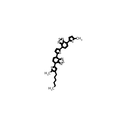 CCCCCCc1cc(-c2ccc(-c3ccc(-c4ccc(-c5ccc(C)s5)c5nsnc45)s3)c3nsnc23)sc1C